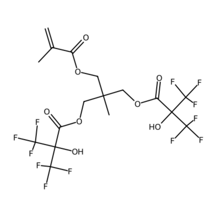 C=C(C)C(=O)OCC(C)(COC(=O)C(O)(C(F)(F)F)C(F)(F)F)COC(=O)C(O)(C(F)(F)F)C(F)(F)F